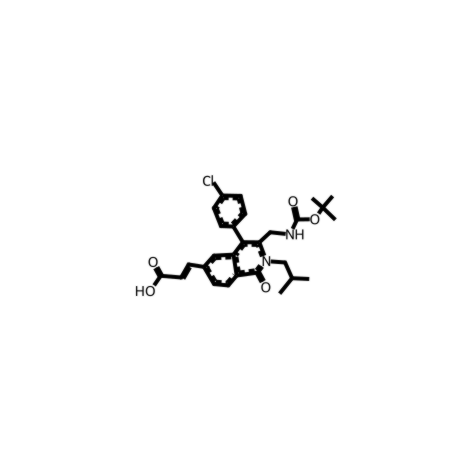 CC(C)Cn1c(CNC(=O)OC(C)(C)C)c(-c2ccc(Cl)cc2)c2cc(/C=C/C(=O)O)ccc2c1=O